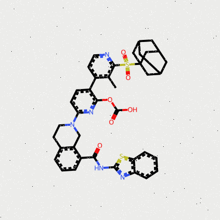 Cc1c(-c2ccc(N3CCc4cccc(C(=O)Nc5nc6ccccc6s5)c4C3)nc2OC(=O)O)ccnc1S(=O)(=O)C12CC3CC(CC(C3)C1)C2